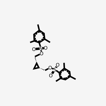 Cc1cc(C)c(S(=O)(=O)OC[C@@H]2C[C@@H]2COS(=O)(=O)c2c(C)cc(C)cc2C)c(C)c1